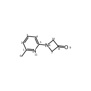 Cc1cccc(N2CC(=O)C2)n1